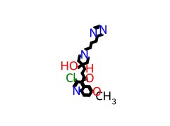 COc1ccc2ncc(Cl)c([C@@H](O)CCC3(CO)CCN(CCCCc4cnccn4)CC3)c2c1